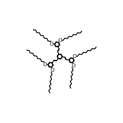 CCCCCCCCCCOc1cc(C=Cc2cc(C=Cc3cc(OCCCCCCCCCC)cc(OCCCCCCCCCC)c3)cc(C=Cc3cc(OCCCCCCCCCC)cc(OCCCCCCCCCC)c3)c2)cc(OCCCCCCCCCC)c1